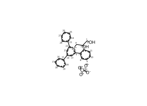 OCC(O)C[n+]1c(-c2ccccc2)cc(-c2ccccc2)cc1-c1ccccc1.[O-][Cl+3]([O-])([O-])[O-]